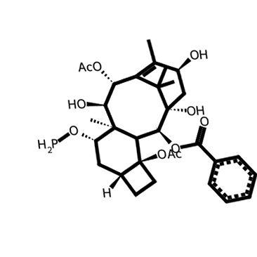 CC(=O)O[C@@H]1C2=C(C)[C@@H](O)C[C@@](O)([C@@H](OC(=O)c3ccccc3)C3[C@@](C)([C@@H](OP)C[C@H]4CC[C@@]34OC(C)=O)[C@H]1O)C2(C)C